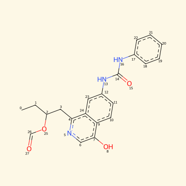 CCC(Cc1ncc(O)c2ccc(NC(=O)Nc3ccccc3)cc12)OC=O